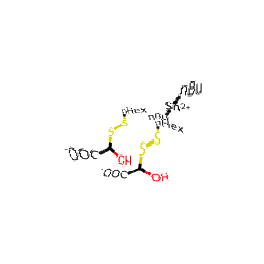 CCCCCCSSC(O)C(=O)[O-].CCCCCCSSC(O)C(=O)[O-].CCC[CH2][Sn+2][CH2]CCC